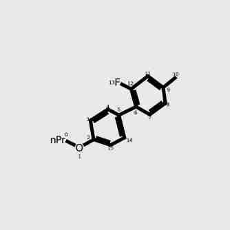 CCCOc1ccc(-c2ccc(C)cc2F)cc1